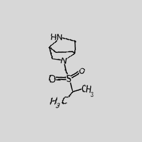 CC(C)S(=O)(=O)N1CC2CCC1CN2